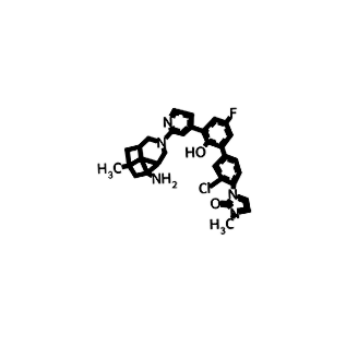 Cn1ccn(-c2ccc(-c3cc(F)cc(-c4ccnc(N5CC6CC7(C)CC8(N)C(C5)C678)c4)c3O)cc2Cl)c1=O